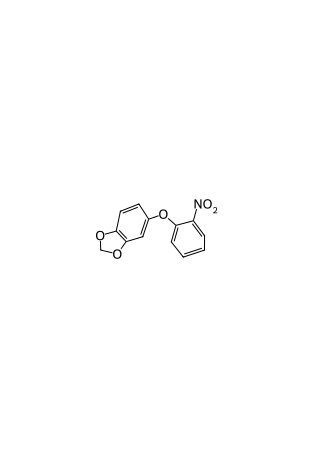 O=[N+]([O-])c1ccccc1Oc1ccc2c(c1)OCO2